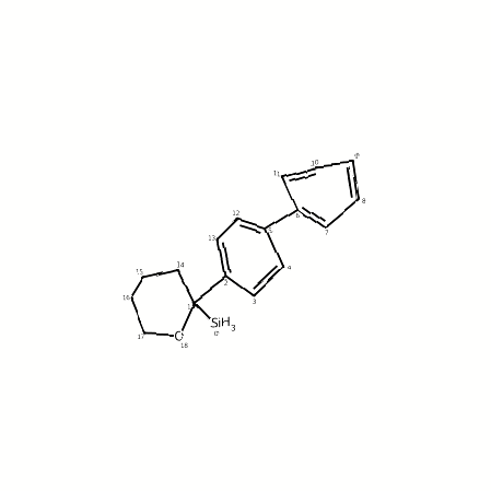 [SiH3]C1(c2ccc(-c3ccccc3)cc2)CCCCO1